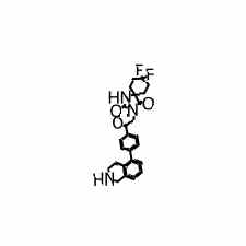 O=C(CN1C(=O)NC2(CCC(F)(F)CC2)C1=O)c1ccc(-c2cccc3c2CCNC3)cc1